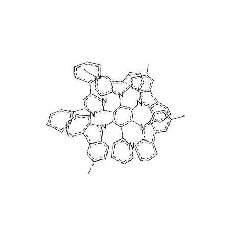 Cc1ccc2c(c1)c1ccccc1n2-c1c(-c2ccccn2)c(-n2c3ccccc3c3cc(C)ccc32)c(-n2c3ccccc3c3cc(C)ccc32)c(-n2c3ccccc3c3cc(C)ccc32)c1-c1nc(-c2ccccc2)cc(-c2ccccc2)n1